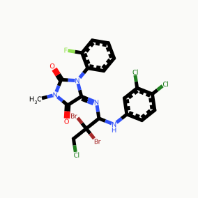 CN1C(=O)C(=NC(Nc2ccc(Cl)c(Cl)c2)C(Br)(Br)CCl)N(c2ccccc2F)C1=O